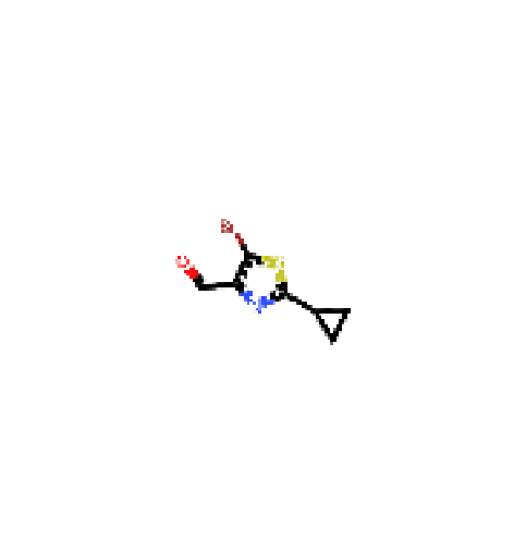 O=Cc1nc(C2CC2)sc1Br